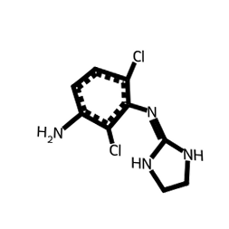 Nc1ccc(Cl)c(N=C2NCCN2)c1Cl